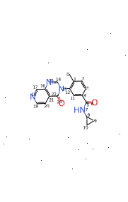 Cc1ccc(C(=O)NC2CC2)cc1-n1cnc2cnccc2c1=O